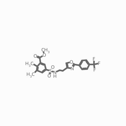 COC(=O)c1cc(S(=O)(=O)NCCc2coc(-c3ccc(C(F)(F)F)cc3)n2)cc(C)c1C